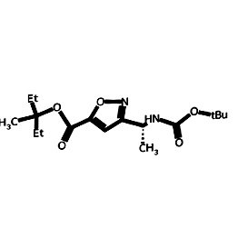 CCC(C)(CC)OC(=O)c1cc([C@@H](C)NC(=O)OC(C)(C)C)no1